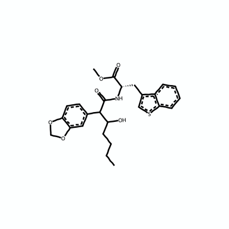 CCCCC(O)C(C(=O)N[C@@H](Cc1csc2ccccc12)C(=O)OC)c1ccc2c(c1)OCO2